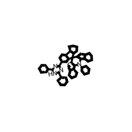 c1ccc(C2=NC(c3ccc4c(c3)C3(c5ccccc5-4)c4ccc5ccccc5c4N(c4ccccc4)c4c3ccc3ccccc43)=NC(c3ccccc3)N2)cc1